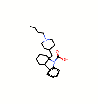 CCCCN1CCC(CC23CCCCC2c2ccccc2N3C(=O)O)CC1